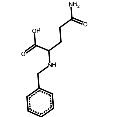 NC(=O)CCC(NCc1ccccc1)C(=O)O